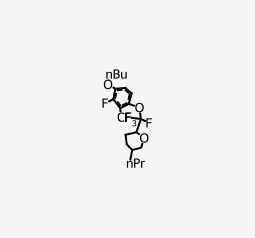 CCCCOc1ccc(OC(F)(F)C2CCC(CCC)CO2)c(C(F)(F)F)c1F